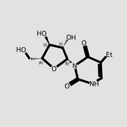 CCc1c[nH]c(=O)n([C@@H]2O[C@H](CO)[C@@H](O)[C@@H]2O)c1=O